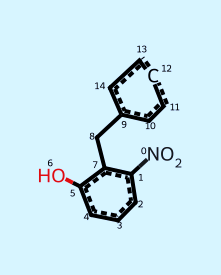 O=[N+]([O-])c1cccc(O)c1Cc1ccccc1